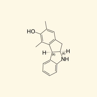 Cc1cc2c(c(C)c1O)[C@@H]1c3ccccc3N[C@@H]1C2